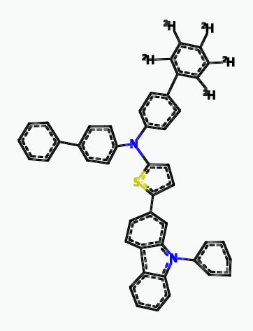 [2H]c1c([2H])c([2H])c(-c2ccc(N(c3ccc(-c4ccccc4)cc3)c3ccc(-c4ccc5c6ccccc6n(-c6ccccc6)c5c4)s3)cc2)c([2H])c1[2H]